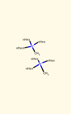 CCCCCC[N+](C)(CCCCC)CCCCCC.CCCCCC[N+](C)(CCCCCC)CCCCCC